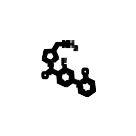 NCC1CCN(C(=O)c2ccc(-n3ccccc3=O)cc2F)C1